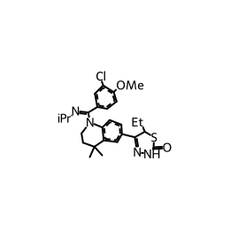 CCC1SC(=O)NN=C1c1ccc2c(c1)C(C)(C)CCN2/C(=N\C(C)C)c1ccc(OC)c(Cl)c1